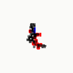 CC(C)OC(=O)O[C@H](C)OC(=O)c1cccc2c1OB(O)[C@@H](NC(=O)CCC#N)C2